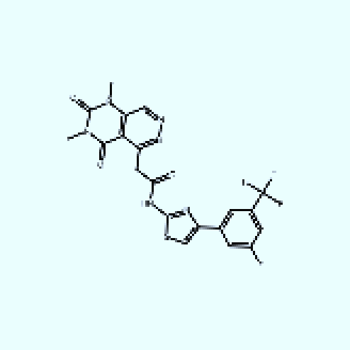 Cn1c(=O)c2c(CC(=O)Nc3nc(-c4cc(F)cc(C(F)(F)F)c4)cs3)nncc2n(C)c1=O